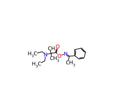 CCN(CC)C(C)(C)C(=O)O/N=C(\C)c1ccccc1